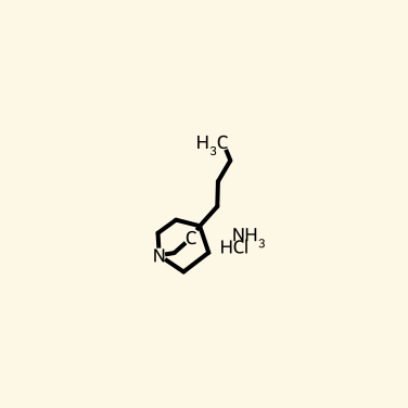 CCCCC12CCN(CC1)CC2.Cl.N